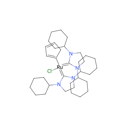 [Cl][Ru]([C]1=CC=CC1)(=[C]1N(C2CCCCC2)CCN1C1CCCCC1)=[C]1N(C2CCCCC2)CCN1C1CCCCC1